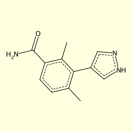 Cc1ccc(C(N)=O)c(C)c1-c1cn[nH]c1